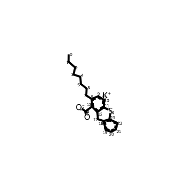 CCCCCCCCc1ccc2c(c1C(=O)[O-])Cc1ccccc1S2.[K+]